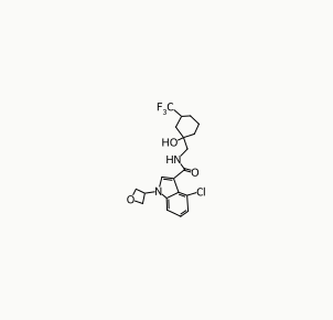 O=C(NCC1(O)CCCC(C(F)(F)F)C1)c1cn(C2COC2)c2cccc(Cl)c12